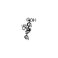 O=C(O)c1cnc2c(c1)[nH]c(=O)c1c2nn2cc(-c3cccnc3)sc12